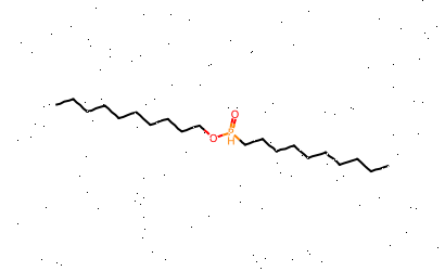 CCCCCCCCCCO[PH](=O)CCCCCCCCCC